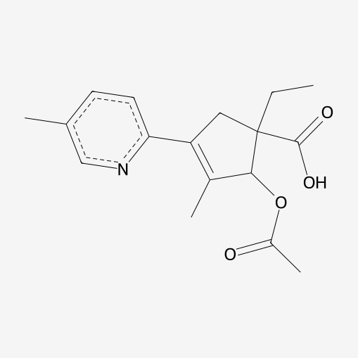 CCC1(C(=O)O)CC(c2ccc(C)cn2)=C(C)C1OC(C)=O